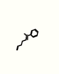 C=CCCC[SiH](C)c1ccccc1